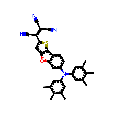 Cc1cc(N(c2cc(C)c(C)c(C)c2)c2ccc3c(c2)oc2cc(C(C#N)=C(C#N)C#N)sc23)cc(C)c1C